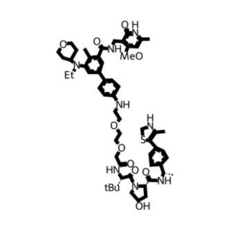 CCN(c1cc(-c2ccc(NCCOCCOCC(=O)N[C@H](C(=O)N3C[C@H](O)C[C@H]3C(=O)N[C@@H](C)c3ccc(C4=C(C)NCS4)cc3)C(C)(C)C)cc2)cc(C(=O)NCc2c(OC)cc(C)[nH]c2=O)c1C)C1CCOCC1